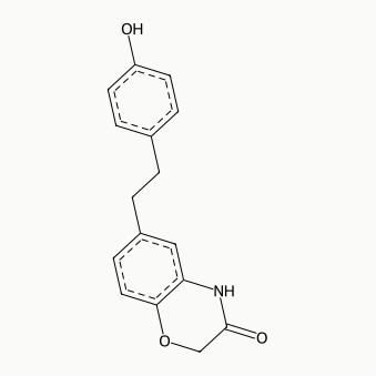 O=C1COc2ccc(CCc3ccc(O)cc3)cc2N1